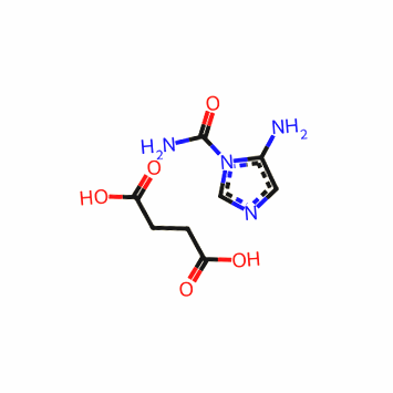 NC(=O)n1cncc1N.O=C(O)CCC(=O)O